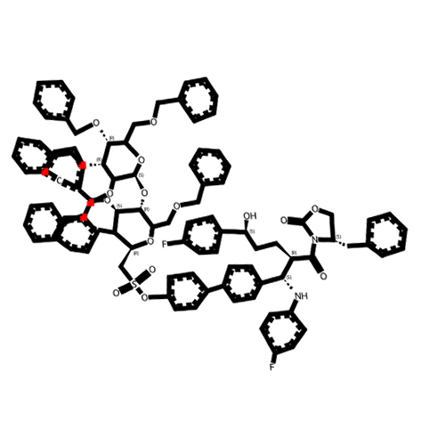 O=C1OC[C@H](Cc2ccccc2)N1C(=O)[C@H](CC[C@H](O)c1ccc(F)cc1)[C@H](Nc1ccc(F)cc1)c1ccc(-c2ccc(OS(=O)(=O)C[C@@H]3OC(COCc4ccccc4)[C@@H](O[C@@H]4OC(COCc5ccccc5)[C@@H](OCc5ccccc5)[C@@H](OCc5ccccc5)C4OCc4ccccc4)[C@@H](OCc4ccccc4)C3OCc3ccccc3)cc2)cc1